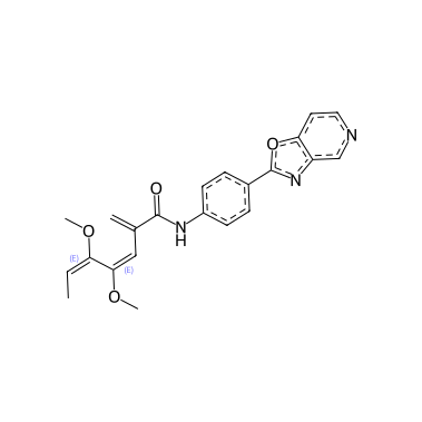 C=C(/C=C(OC)\C(=C/C)OC)C(=O)Nc1ccc(-c2nc3cnccc3o2)cc1